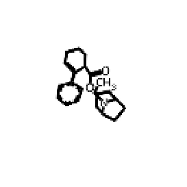 CCN1C2CCC1CC(OC(=O)C1CCCC=C1c1ccccc1)C2